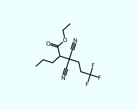 CCCC(C(=O)OCC)C(C#N)(C#N)CCC(F)(F)F